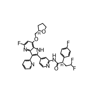 O=C(Nc1cc(-c2[nH]c3c(OC[C@H]4CCCO4)cc(F)nc3c2-c2ccccn2)ccn1)[C@H](CC(F)F)c1ccc(F)cc1